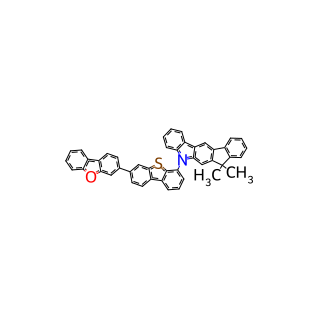 CC1(C)c2ccccc2-c2cc3c4ccccc4n(-c4cccc5c4sc4cc(-c6ccc7c(c6)oc6ccccc67)ccc45)c3cc21